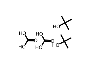 CC(C)(C)O.CC(C)(C)O.O=C(O)O.O=C(O)O